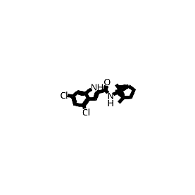 CC1(C)C2CCC1(C)C(NC(=O)c1cc3c(Cl)cc(Cl)cc3[nH]1)C2